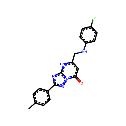 Cc1ccc(-c2nc3[nH]c(CNc4ccc(Br)cc4)cc(=O)n3n2)cc1